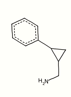 NCC1CC1c1ccccc1